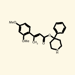 COc1ccc(/C(C)=C/C(=O)OC2(c3ccccc3)CCNCC2)c(OC)c1